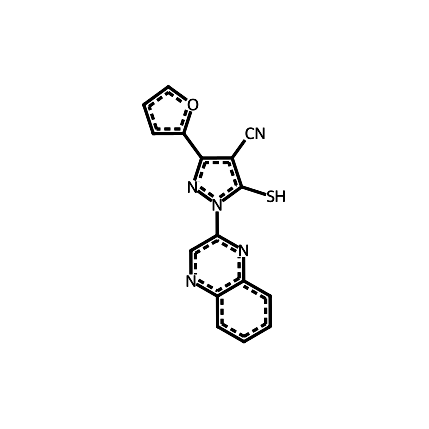 N#Cc1c(-c2ccco2)nn(-c2cnc3ccccc3n2)c1S